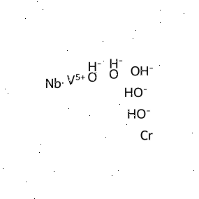 [Cr].[Nb].[OH-].[OH-].[OH-].[OH-].[OH-].[V+5]